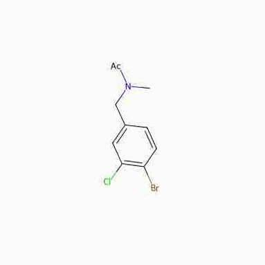 CC(=O)N(C)Cc1ccc(Br)c(Cl)c1